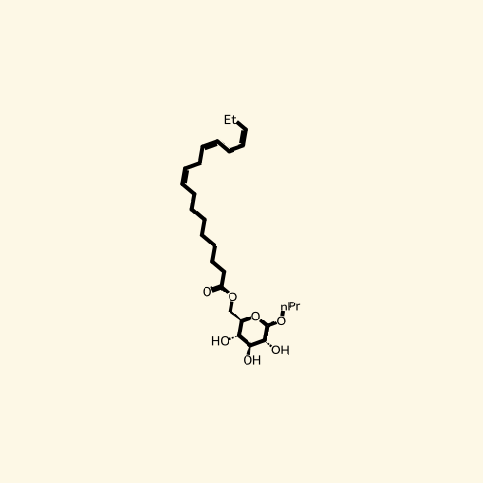 CC/C=C\C/C=C\C/C=C\CCCCCCCC(=O)OC[C@H]1OC(OCCC)[C@H](O)[C@@H](O)[C@@H]1O